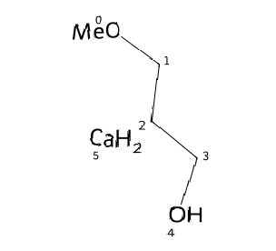 COCCCO.[CaH2]